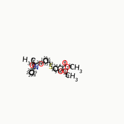 CCOC(=O)C(Cc1cccc(SCc2cccc(OCc3nc(-c4ccccc4)oc3C)c2)c1)C(=O)OCC